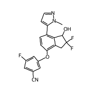 Cn1nccc1-c1ccc(Oc2cc(F)cc(C#N)c2)c2c1C(O)C(F)(F)C2